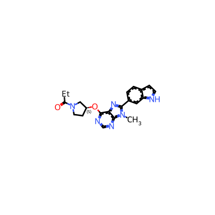 CCC(=O)N1CC[C@H](Oc2ncnc3c2nc(-c2ccc4cc[nH]c4c2)n3C)C1